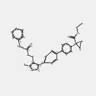 CCOC(=O)C1(c2ccc(C3=CCC(c4onc(C)c4CCC(=O)Nc4ccccc4)C=C3)cc2)CC1